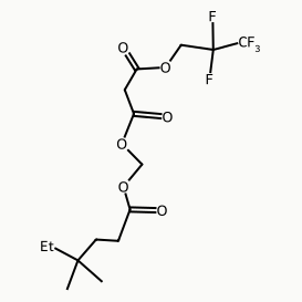 CCC(C)(C)CCC(=O)OCOC(=O)CC(=O)OCC(F)(F)C(F)(F)F